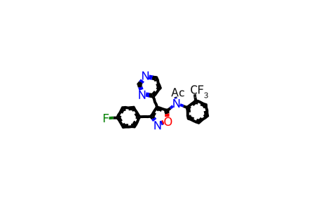 CC(=O)N(c1ccccc1C(F)(F)F)c1onc(-c2ccc(F)cc2)c1-c1ccncn1